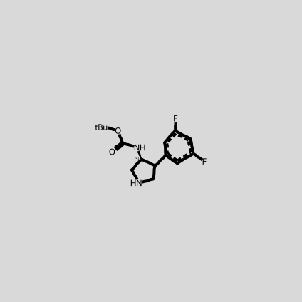 CC(C)(C)OC(=O)N[C@@H]1CNCC1c1cc(F)cc(F)c1